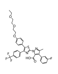 CCOCCOCCOc1ccc(-c2sc(-n3nc(C)c(-c4cccc(F)c4)c3C(=O)O)nc2-c2ccc(C(F)(F)F)cc2)cc1